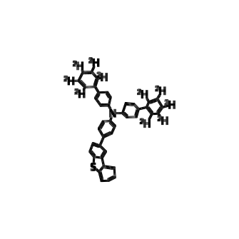 [2H]c1c([2H])c([2H])c(-c2ccc(N(c3ccc(-c4ccc5sc6ccccc6c5c4)cc3)c3ccc(-c4c([2H])c([2H])c([2H])c([2H])c4[2H])cc3)cc2)c([2H])c1[2H]